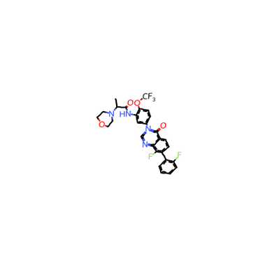 CC(C(=O)Nc1cc(-n2cnc3c(F)c(-c4ccccc4F)ccc3c2=O)ccc1OC(F)(F)F)N1CCOCC1